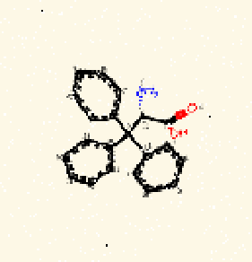 N[C@H](C(=O)O)C(c1ccccc1)(c1ccccc1)c1ccccc1